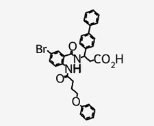 O=C(O)CC(NC(=O)c1cc(Br)ccc1NC(=O)CCCOc1ccccc1)c1ccc(-c2ccccc2)cc1